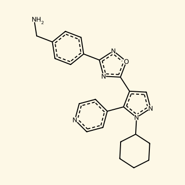 NCc1ccc(-c2noc(-c3cnn(C4CCCCC4)c3-c3ccncc3)n2)cc1